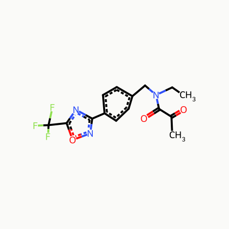 CCN(Cc1ccc(-c2noc(C(F)(F)F)n2)cc1)C(=O)C(C)=O